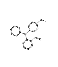 COc1ccc(N(c2ccccc2)c2ccccc2C=O)cc1